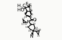 C[C@](O)(c1ccc(C(=O)N(C2CC2)C2CCC(C#N)(C3CC3)CC2)cc1)C(F)(F)F